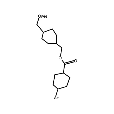 COCC1CCC(COC(=O)C2CCC(C(C)=O)CC2)CC1